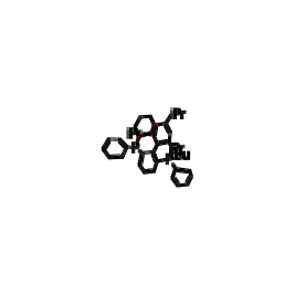 CC(C)c1cc(C(C)C)c(-c2c(P(c3ccccc3)C3CCCCC3)cccc2P(c2ccccc2)C(C)(C)C)c(C(C)C)c1